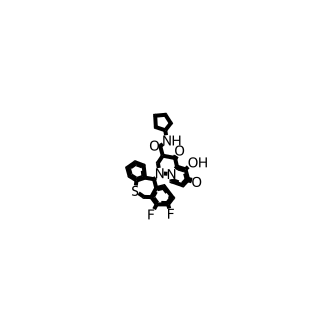 O=C(NC1CCCC1)C1CN(C2c3ccccc3SCc3c2ccc(F)c3F)n2ccc(=O)c(O)c2C1=O